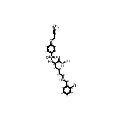 CC#CCOc1ccc(S(=O)(=O)NC(CCCCNCc2ccccc2Cl)C(=O)NO)cc1